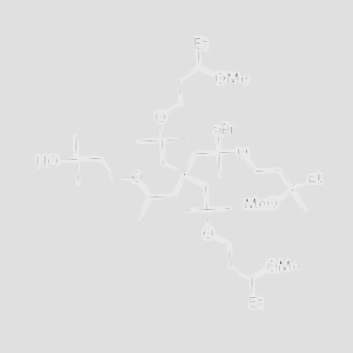 CCCC(C)(CC(CC(C)OCCC(C)(C)O)(CC(C)(C)OCCC(CC)OC)CC(C)(C)OCCC(CC)OC)OCCC(C)(CC)OC